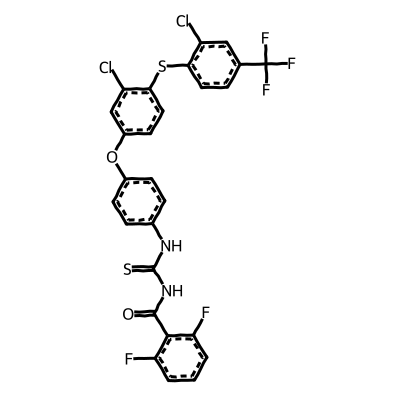 O=C(NC(=S)Nc1ccc(Oc2ccc(Sc3ccc(C(F)(F)F)cc3Cl)c(Cl)c2)cc1)c1c(F)cccc1F